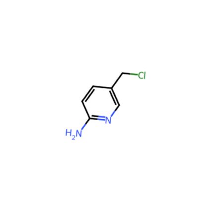 Nc1ccc(CCl)cn1